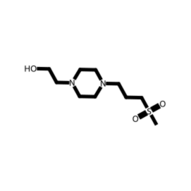 CS(=O)(=O)CCCN1CCN(CCO)CC1